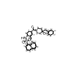 O=C(c1ccc(NS(=O)(=O)c2cccc3cccnc23)c(F)c1)N1CCC(O)(Cc2ccccc2)CC1